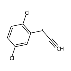 C#C[CH]c1cc(Cl)ccc1Cl